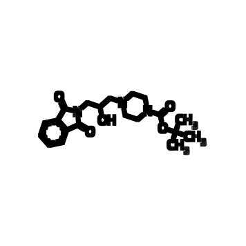 CC(C)(C)OC(=O)N1CCN(CC(O)CN2C(=O)c3ccccc3C2=O)CC1